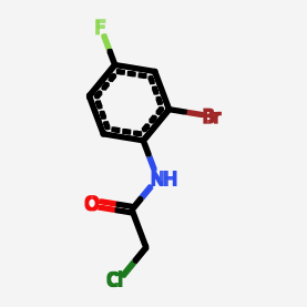 O=C(CCl)Nc1ccc(F)cc1Br